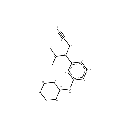 CC(C)C(CC#N)c1cncc(SC2CCCCC2)c1